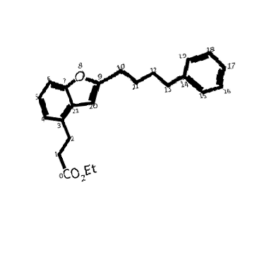 CCOC(=O)CCc1cccc2oc(CCCCc3ccccc3)cc12